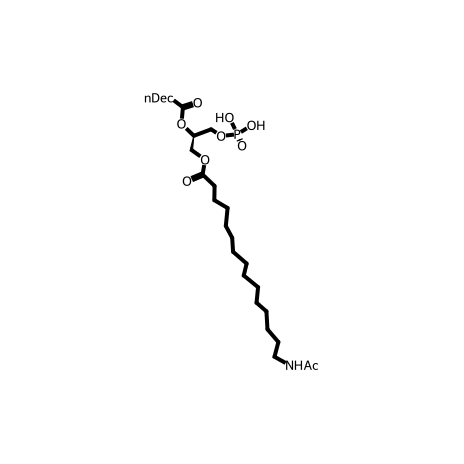 CCCCCCCCCCC(=O)O[C@H](COC(=O)CCCCCCCCCCCCCCNC(C)=O)COP(=O)(O)O